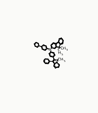 Cn1c(-c2ccc(N(c3ccc(-c4ccccc4)cc3)c3ccc4c(c3)C(C)(C)c3ccccc3-4)cc2)c(-c2ccccc2)c2ccccc21